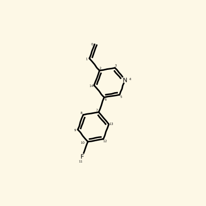 C=Cc1cncc(-c2ccc(F)cc2)c1